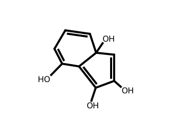 OC1=CC2(O)C=CC=C(O)C2=C1O